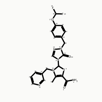 CC1=C(C(N)=O)SC(n2cnn(Cc3ccc(OC(F)F)cc3)c2=O)N1Cc1cccnc1